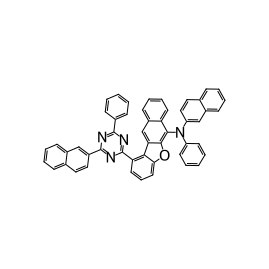 c1ccc(-c2nc(-c3ccc4ccccc4c3)nc(-c3cccc4oc5c(N(c6ccccc6)c6ccc7ccccc7c6)c6ccccc6cc5c34)n2)cc1